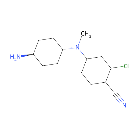 CN(C1CCC(C#N)C(Cl)C1)[C@H]1CC[C@H](N)CC1